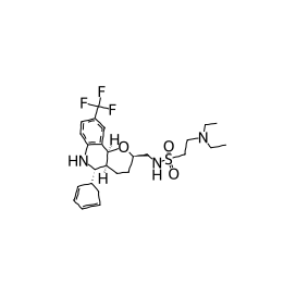 CCN(CC)CCS(=O)(=O)NC[C@H]1CC[C@@H]2[C@H](O1)c1cc(C(F)(F)F)ccc1N[C@H]2C1C=CC=CC1